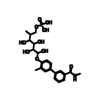 CNC(=O)c1cccc(-c2ccc(OC(O)C(O)C(O)C(O)C(C)COP(=O)(O)O)c(C)c2)c1